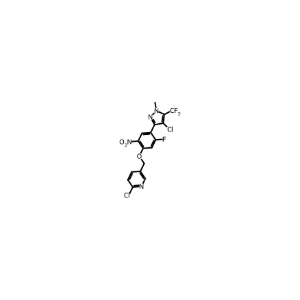 Cn1nc(-c2cc([N+](=O)[O-])c(OCc3ccc(Cl)nc3)cc2F)c(Cl)c1C(F)(F)F